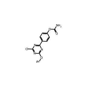 CC(C)Oc1nc(Cl)nc(-c2ccc(OC(N)=O)cc2)n1